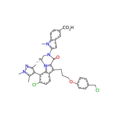 Cc1nn(C)c(C)c1-c1c(Cl)ccc2c(CCCOc3ccc(CCl)cc3)c3n(c12)[C@H](C)CN(c1cc2cc(C(=O)O)ccc2n1C)C3=O